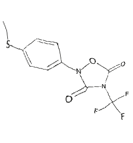 CSc1ccc(-n2oc(=O)n(C(F)(F)F)c2=O)cc1